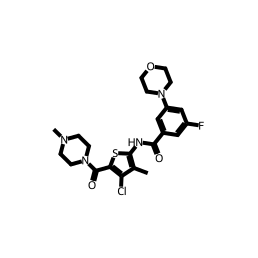 Cc1c(NC(=O)c2cc(F)cc(N3CCOCC3)c2)sc(C(=O)N2CCN(C)CC2)c1Cl